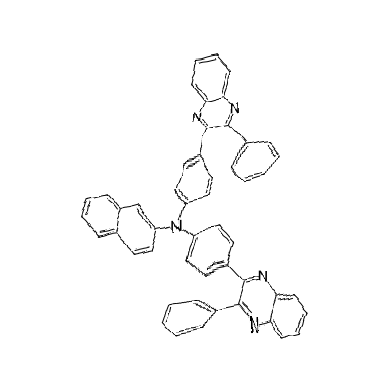 c1ccc(-c2nc3ccccc3nc2-c2ccc(N(c3ccc(-c4nc5ccccc5nc4-c4ccccc4)cc3)c3ccc4ccccc4c3)cc2)cc1